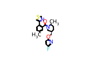 Cc1ccc(-c2cscn2)c(C(=O)N2C[C@H](COc3ccc(F)cn3)CC[C@H]2C)c1